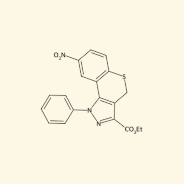 CCOC(=O)c1nn(-c2ccccc2)c2c1CSc1ccc([N+](=O)[O-])cc1-2